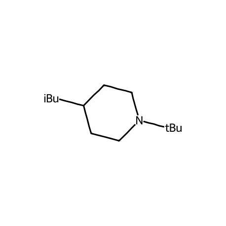 CCC(C)C1CCN(C(C)(C)C)CC1